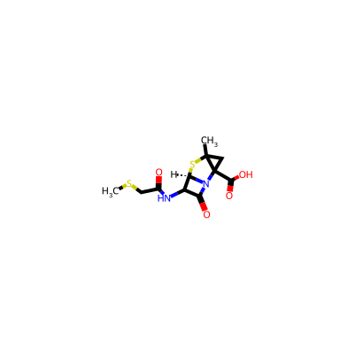 CSCC(=O)NC1C(=O)N2[C@@H]1SC1(C)CC21C(=O)O